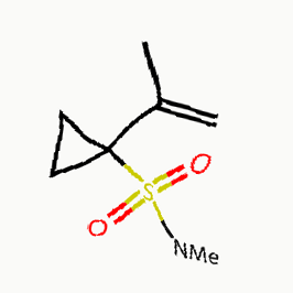 C=C(C)C1(S(=O)(=O)NC)CC1